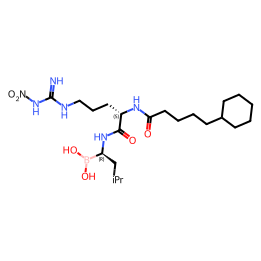 CC(C)C[C@H](NC(=O)[C@H](CCCNC(=N)N[N+](=O)[O-])NC(=O)CCCCC1CCCCC1)B(O)O